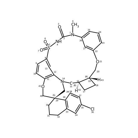 CN1C(=O)NS(=O)(=O)c2ccc3c(c2)N(C[C@@H]2CC[C@H]2COc2cccc1c2)C[C@@]1(CCCc2cc(Cl)ccc21)CO3